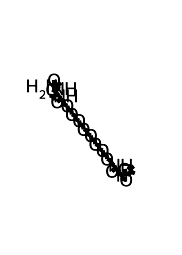 CC(NC(=O)C(NC(=O)CCOCCOCCOCCOCCOCCOCCOCCOCCNC(=O)CCN(C=O)C(=O)CC(C)C(C)C)C(C)C)C(N)=O